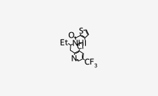 CCC(Cc1ncc(C(F)(F)F)cc1Cl)NC(=O)c1sccc1I